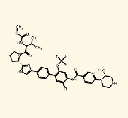 COC(=O)N[C@H](C(=O)N1CCC[C@H]1c1nc(-c2ccc(-c3cc(Cl)c(NC(=O)c4ccc(N5CCNC[C@H]5C)nc4)cc3OC(F)(F)F)cc2)c[nH]1)C(C)C